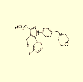 O=C(O)c1nn(-c2ccc(CN3CCOCC3)cc2)c2c1CSc1c(F)cccc1-2